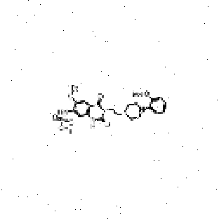 CCOc1cc2c(=O)n(CCN3CCN(c4ccccc4OC)CC3)c(=O)[nH]c2cc1NS(C)(=O)=O